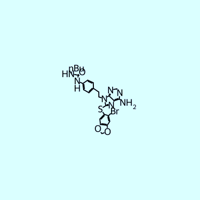 CCCCNC(=O)Nc1ccc(CCn2c(Sc3cc4c(cc3Br)OCO4)nc3c(N)ncnc32)cc1